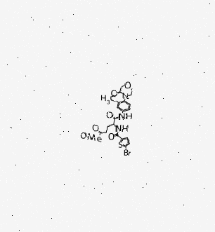 COC(=O)CCC(NC(=O)c1ccc(Br)s1)C(=O)Nc1ccc(N2CCOCC2=O)c(C)c1